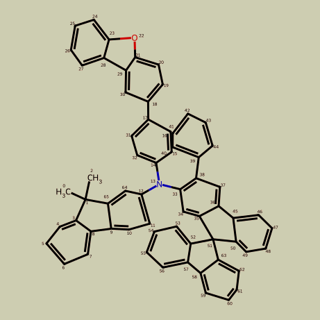 CC1(C)c2ccccc2-c2ccc(N(c3ccc(-c4ccc5oc6ccccc6c5c4)cc3)c3cc4c(cc3-c3ccccc3)-c3ccccc3C43c4ccccc4-c4ccccc43)cc21